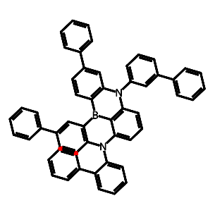 c1ccc(-c2cccc(N3c4cc(-c5ccccc5)ccc4B4c5cc(-c6ccccc6)ccc5N(c5ccccc5-c5ccccc5)c5cccc3c54)c2)cc1